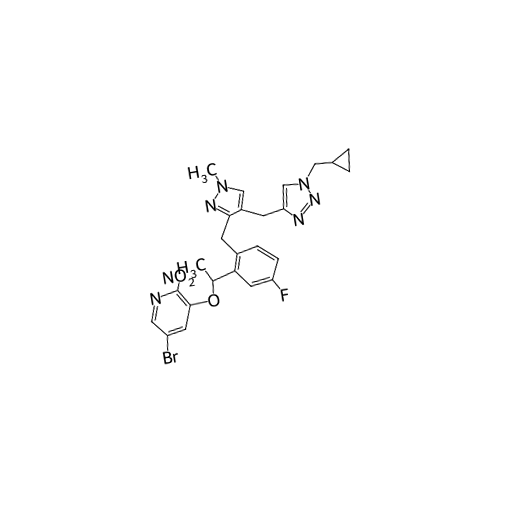 CC(Oc1cc(Br)cnc1[N+](=O)[O-])c1cc(F)ccc1Cc1nn(C)cc1Cc1cn(CC2CC2)nn1